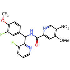 COc1cc(C(=O)NC(c2ccc(OC(F)(F)F)c(F)c2)c2ncccc2F)ncc1[N+](=O)[O-]